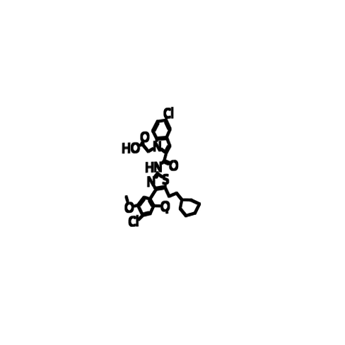 COc1cc(-c2nc(NC(=O)c3cc4cc(Cl)ccc4n3CC(=O)O)sc2CCC2CCCCC2)c(OC)cc1Cl